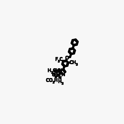 Cc1cc(-c2cnc([C@@](N)(CC(=O)O)S(C)(=O)=O)[nH]2)cc(C(F)(F)F)c1OCc1ccc(-c2ccccc2)cc1